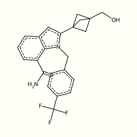 NC(=O)c1cccc2cc(C34CC(CO)(C3)C4)n(Cc3ccc(C(F)(F)F)cc3)c12